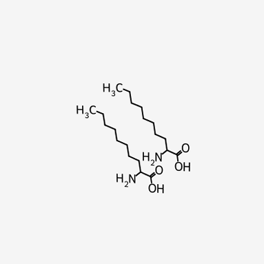 CCCCCCCCC(N)C(=O)O.CCCCCCCCC(N)C(=O)O